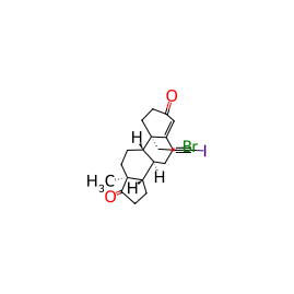 C[C@]12CC[C@H]3[C@@H](C[C@@H](Br)C4=CC(=O)CC[C@@]43CC#CI)[C@@H]1CCC2=O